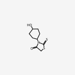 O=C1CSC(=S)N1C1CCC(O)CC1